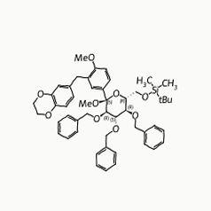 COc1ccc([C@]2(OC)O[C@H](CO[Si](C)(C)C(C)(C)C)[C@@H](OCc3ccccc3)[C@H](OCc3ccccc3)[C@H]2OCc2ccccc2)cc1Cc1ccc2c(c1)OCCO2